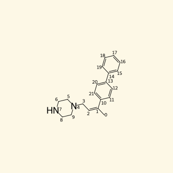 CC(=CCN1CCNCC1)c1ccc(-c2ccccc2)cc1